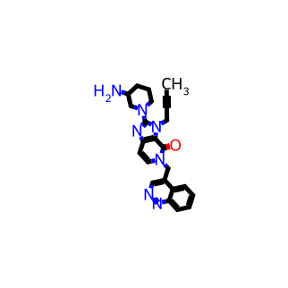 CC#CCn1c(N2CCCC(N)C2)nc2ccn(Cc3cnnc4ccccc34)c(=O)c21